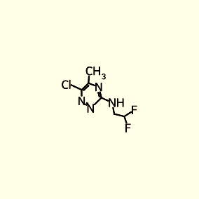 Cc1nc(NCC(F)F)nnc1Cl